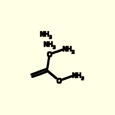 C=C(ON)ON.N.N